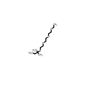 CCOCCOCCOCCSC(C)(C)CC